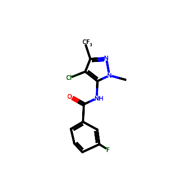 Cn1nc(C(F)(F)F)c(Cl)c1NC(=O)c1cccc(F)c1